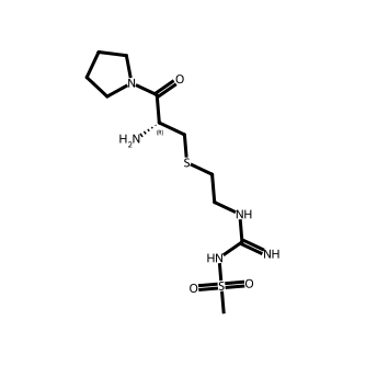 CS(=O)(=O)NC(=N)NCCSC[C@H](N)C(=O)N1CCCC1